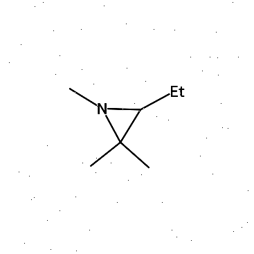 CCC1N(C)C1(C)C